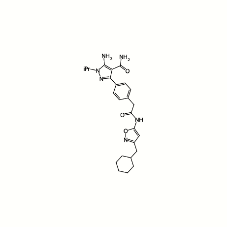 CC(C)n1nc(-c2ccc(CC(=O)Nc3cc(CC4CCCCC4)no3)cc2)c(C(N)=O)c1N